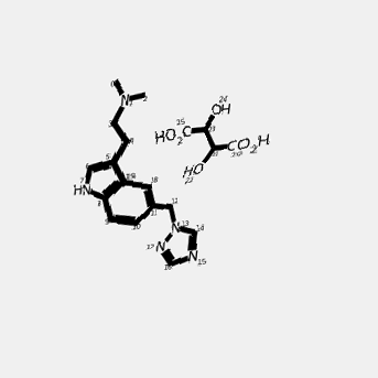 CN(C)CCc1c[nH]c2ccc(Cn3cncn3)cc12.O=C(O)C(O)C(O)C(=O)O